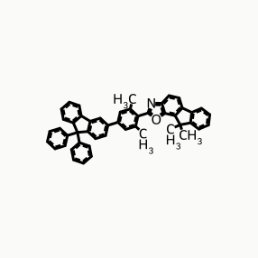 Cc1cc(-c2ccc3c(c2)-c2ccccc2C3(c2ccccc2)c2ccccc2)cc(C)c1-c1nc2ccc3c(c2o1)C(C)(C)c1ccccc1-3